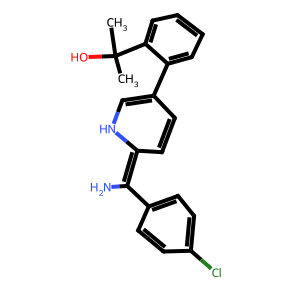 CC(C)(O)c1ccccc1C1=CN/C(=C(\N)c2ccc(Cl)cc2)C=C1